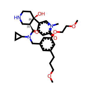 COCCCc1cc(CN(C(=O)[C@H]2CNCC[C@]2(O)c2ccc(=O)n(C)c2)C2CC2)cc(OCCOC)c1